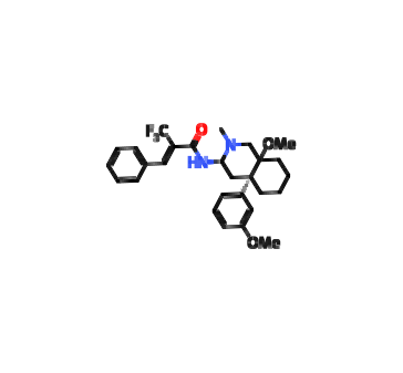 COc1cccc([C@@]23CCCCC2(OC)CN(C)[C@H](NC(=O)C(=Cc2ccccc2)C(F)(F)F)C3)c1